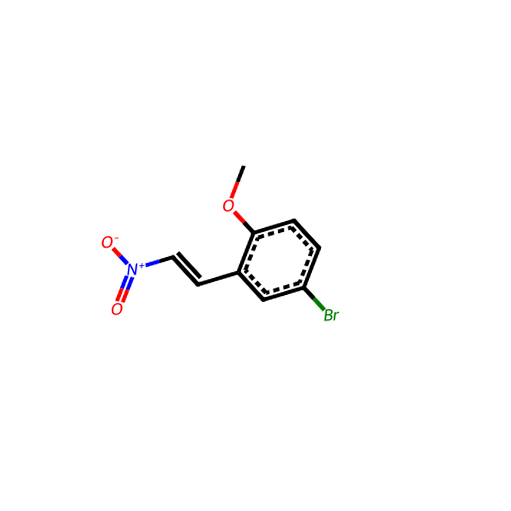 COc1ccc(Br)cc1C=C[N+](=O)[O-]